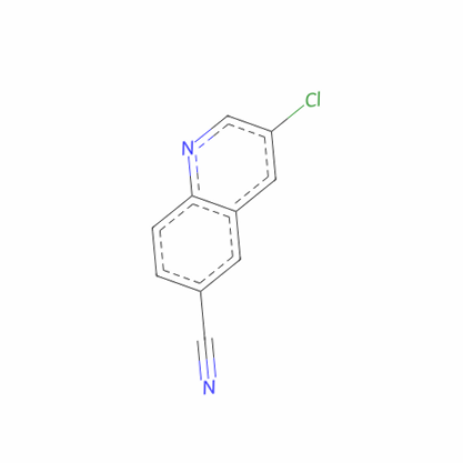 N#Cc1ccc2ncc(Cl)cc2c1